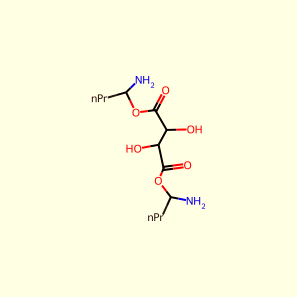 CCCC(N)OC(=O)C(O)C(O)C(=O)OC(N)CCC